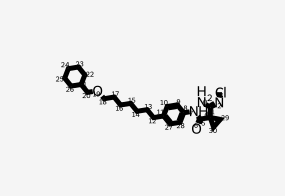 N/C(=N\Cl)C1(C(=O)Nc2ccc(CCCCCCCOCC3CCCCC3)cc2)CC1